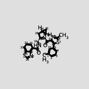 Cc1cccc(-c2sc(C)nc2C(=O)N2[C@H](CNC(=O)c3cccc4scnc34)C[C@@H]3C[C@@H]32)c1